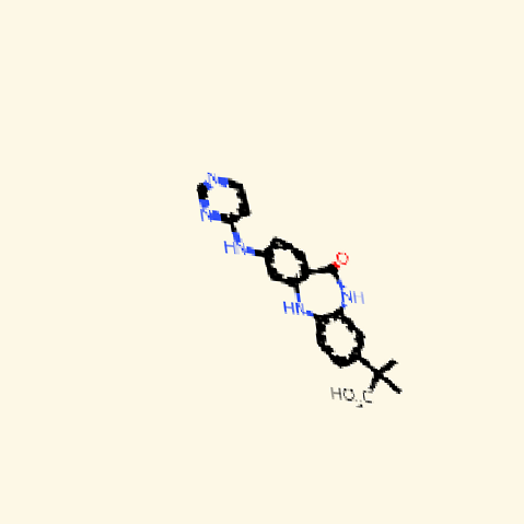 CC(C)(C(=O)O)c1ccc2c(c1)NC(=O)c1ccc(Nc3ccncn3)cc1N2